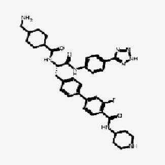 NCC1CCC(C(=O)N[C@@H](Cc2ccc(-c3ccc(C(=O)NC4CCNCC4)c(F)c3)cc2)C(=O)Nc2ccc(-c3nn[nH]n3)cc2)CC1